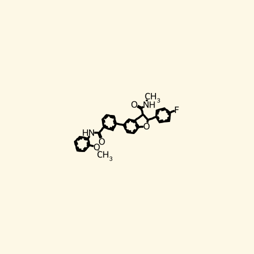 CNC(=O)C1c2cc(-c3cccc(C(=O)Nc4ccccc4OC)c3)ccc2OC1c1ccc(F)cc1